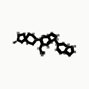 C[C@H]1CC2(CCN(c3nc4cnn(-c5ccc6ccnn6c5)c4nc3CO)CC2)CO1